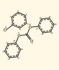 Clc1ccccc1.O=C(Oc1ccccc1)Oc1ccccc1